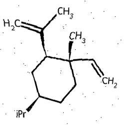 C=C[C@]1(C)CC[C@@H](C(C)C)C[C@H]1C(=C)C